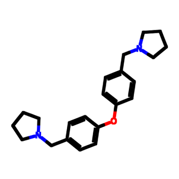 c1cc(Oc2ccc(CN3CCCC3)cc2)ccc1CN1CCCC1